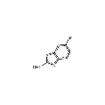 O=Cc1nc2ccc(Br)cc2s1